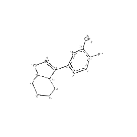 Fc1ccc(C2=NOC3CCCCC23)cc1C(F)(F)F